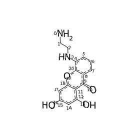 NCCNc1cccc2c(=O)c3c(O)cc(O)cc3oc12